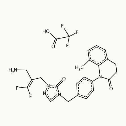 Cc1cccc2c1N(c1ccc(Cn3cnn(CC(CN)=C(F)F)c3=O)cc1)C(=O)CC2.O=C(O)C(F)(F)F